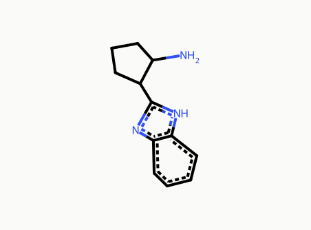 NC1CCCC1c1nc2ccccc2[nH]1